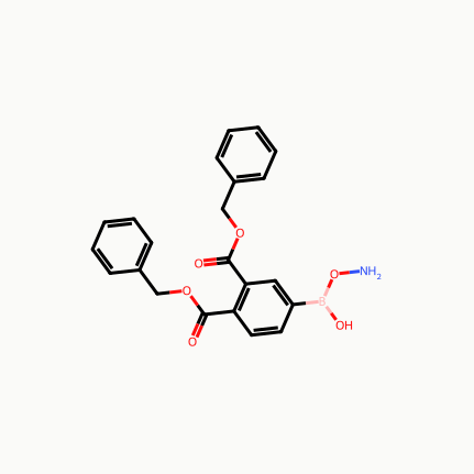 NOB(O)c1ccc(C(=O)OCc2ccccc2)c(C(=O)OCc2ccccc2)c1